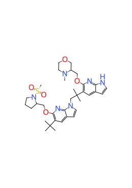 CN1CCOCC1COc1nc2[nH]ccc2cc1C(C)(C)Cn1ccc2cc(C(C)(C)C)c(OCC3CCCN3S(C)(=O)=O)nc21